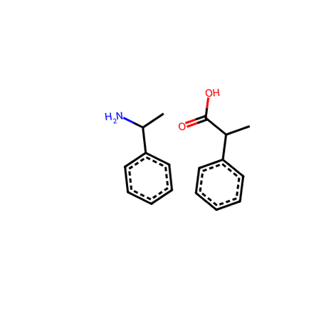 CC(C(=O)O)c1ccccc1.CC(N)c1ccccc1